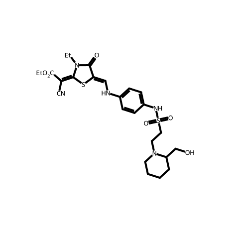 CCOC(=O)C(C#N)=c1sc(=CNc2ccc(NS(=O)(=O)CCN3CCCCC3CO)cc2)c(=O)n1CC